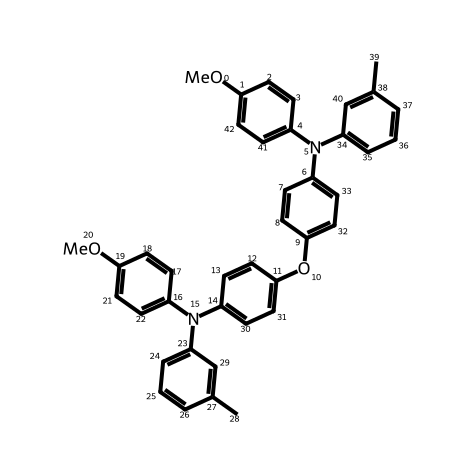 COc1ccc(N(c2ccc(Oc3ccc(N(c4ccc(OC)cc4)c4cccc(C)c4)cc3)cc2)c2cccc(C)c2)cc1